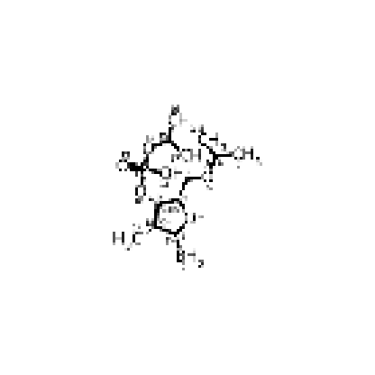 B[C@@H]1O[C@H](COC(C)C)[C@@H](OP(=O)(O)OC(C)C)[C@H]1C